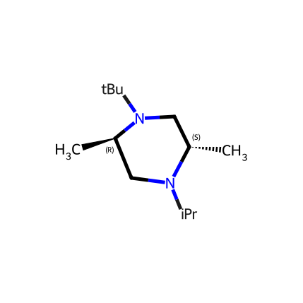 CC(C)N1C[C@@H](C)N(C(C)(C)C)C[C@@H]1C